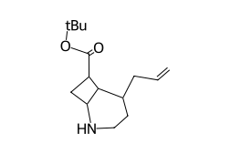 C=CCC1CCNC2CC(C(=O)OC(C)(C)C)C12